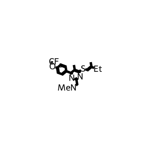 CC/C(C)=C/Sc1nc(CNC)nc(-c2ccc(OC(F)(F)F)cc2)c1C